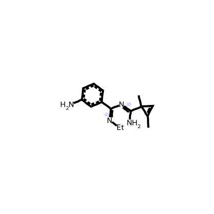 CC/N=C(\N=C(/N)C1(C)C=C1C)c1cccc(N)c1